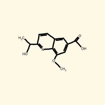 COc1cc(C(=O)O)cc2ccc(C(C)O)nc12